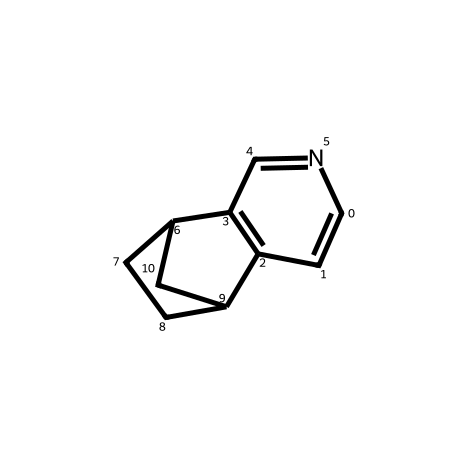 c1cc2c(cn1)C1CCC2C1